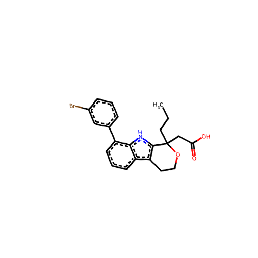 CCCC1(CC(=O)O)OCCc2c1[nH]c1c(-c3cccc(Br)c3)cccc21